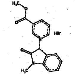 Br.COC(=O)c1ccc[n+](C2C(=O)N(C)c3ccccc32)c1